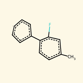 Cc1ccc(-c2cc[c]cc2)c(F)c1